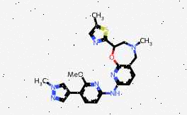 COc1nc(Nc2ccc3c(n2)OC(c2ncc(C)s2)CN(C)C3)ccc1-c1cnn(C)c1